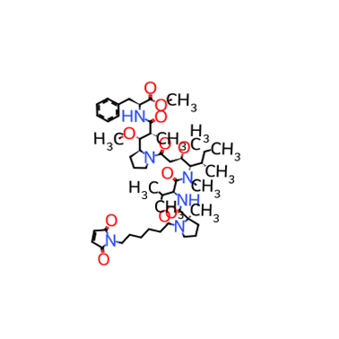 CC[C@H](C)[C@@H]([C@@H](CC(=O)N1CCC[C@H]1[C@H](OC)[C@@H](C)C(=O)N[C@@H](Cc1ccccc1)C(=O)OC)OC)N(C)C(=O)[C@@H](NC(=O)[C@@]1(C)CCCN1C(=O)CCCCCN1C(=O)C=CC1=O)C(C)C